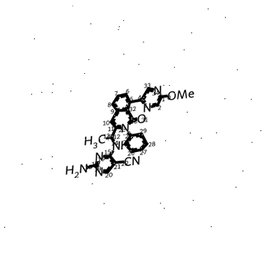 COc1cnc(-c2cccc3cc([C@H](C)Nc4nc(N)ncc4C#N)n(-c4ccccc4)c(=O)c23)cn1